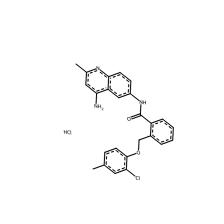 Cc1ccc(OCc2ccccc2C(=O)Nc2ccc3nc(C)cc(N)c3c2)c(Cl)c1.Cl